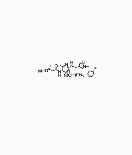 CO[C@H](C)CC(=O)Nc1c(C)nc(NCc2cnn(Cc3ccccc3F)c2)nc1N(C)O